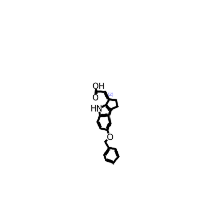 O=C(O)/C=C1/CCc2c1[nH]c1ccc(OCc3ccccc3)cc21